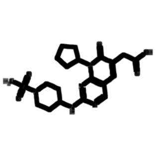 CS(=O)(=O)N1CCC(Nc2ncc3cc(CC(=O)O)c(=O)n(C4CCCC4)c3n2)CC1